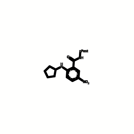 CCCCCNC(=O)c1cc([N+](=O)[O-])ccc1NC1CCCC1